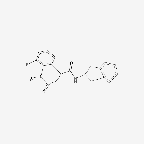 CN1C(=O)CC(C(=O)NC2Cc3ccccc3C2)c2cccc(F)c21